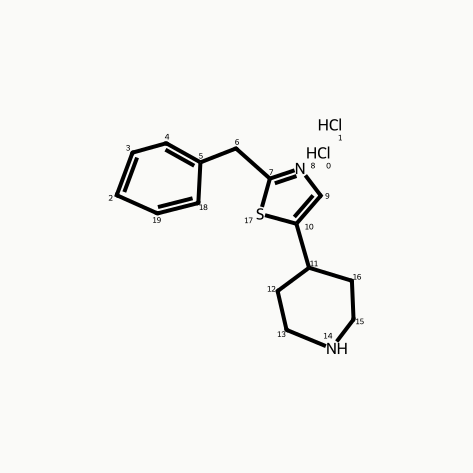 Cl.Cl.c1ccc(Cc2ncc(C3CCNCC3)s2)cc1